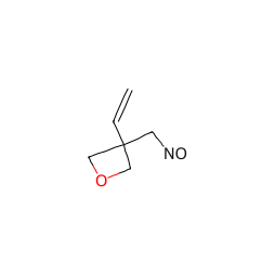 C=CC1(CN=O)COC1